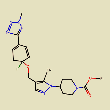 CC(C)OC(=O)N1CCC(n2ncc(COC3(F)C=CC(c4nnn(C)n4)=CC3)c2C#N)CC1